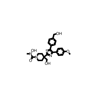 COc1ccc(-c2nc(C3(CO)CCN(C(=O)N(C)O)CC3)sc2-c2ccc(CO)cc2)cc1